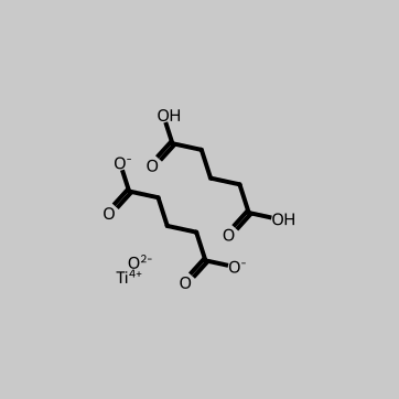 O=C(O)CCCC(=O)O.O=C([O-])CCCC(=O)[O-].[O-2].[Ti+4]